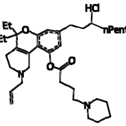 C=CCN1CCC2=C(C1)c1c(OC(=O)CCCN3CCCCC3)cc(CCC(C)CCCCC)cc1OC2(CC)CC.Cl